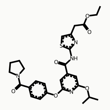 CCOC(=O)Cc1csc(NC(=O)c2cc(Oc3ccc(C(=O)N4CCCC4)cc3)nc(OC(C)C)c2)n1